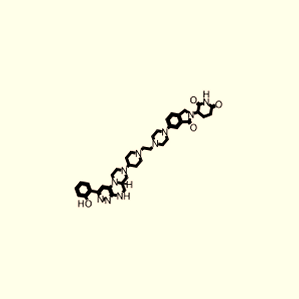 O=C1CCC(N2Cc3ccc(N4CCN(CCN5CCC(N6CCN7c8cc(-c9ccccc9O)nnc8NC[C@H]7C6)CC5)CC4)cc3C2=O)C(=O)N1